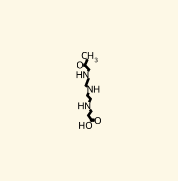 CCC(=O)CNCCNCCNCCC(=O)O